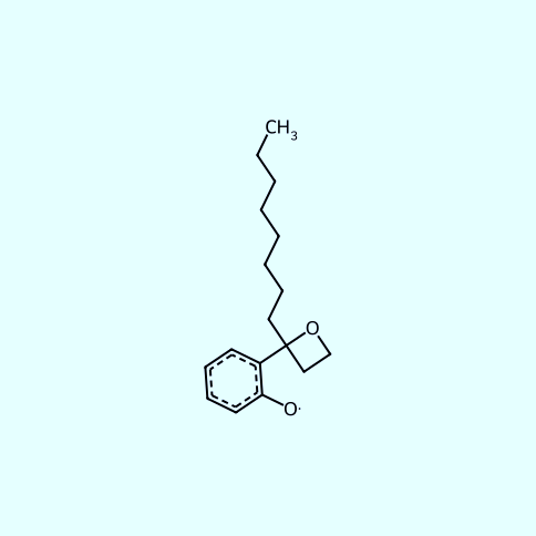 CCCCCCCCC1(c2ccccc2[O])CCO1